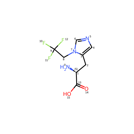 N[C@@H](Cc1cncn1CC(F)(F)F)C(=O)O